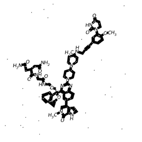 COc1ccc(C#CCNC2(C)CCN(C3CCN(c4nc([C@@](COCNC(=O)CNC(=O)C(CC(N)=O)CC(N)=O)(OC5CC5)c5ccccc5)c5cc(-c6cn(C)c(=O)c7[nH]ccc67)ccc5n4)CC3)CC2)cc1N1CCC(=O)NC1=O